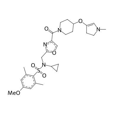 COc1cc(C)c(S(=O)(=O)N(Cc2nc(C(=O)N3CCC(OC4=CN(C)CC4)CC3)co2)C2CC2)c(C)c1